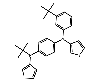 CC(C)(C)c1cccc(N(c2ccc(N(c3ccsc3)C(C)(C)C)cc2)c2ccsc2)c1